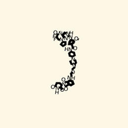 COc1cc(C(=O)N[C@H]2CC[C@H](N3CCN(CCOCCNc4cccc5c4C(=O)N(C4CCC(=O)NC4=O)C5=O)CC3)CC2)ccc1Nc1ncc2c(n1)N(C1CCCC1)CC(F)(F)C(=O)N2C